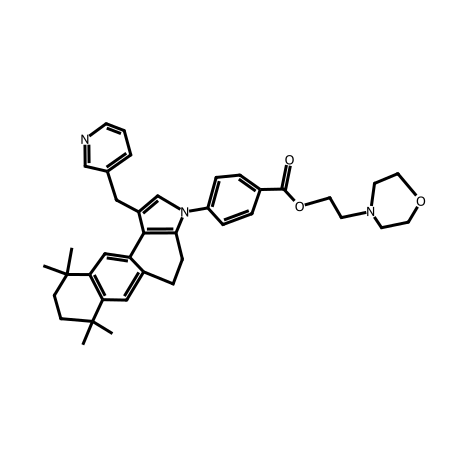 CC1(C)CCC(C)(C)c2cc3c(cc21)CCc1c-3c(Cc2cccnc2)cn1-c1ccc(C(=O)OCCN2CCOCC2)cc1